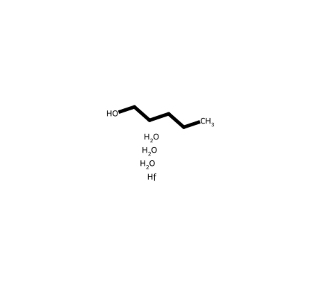 CCCCCO.O.O.O.[Hf]